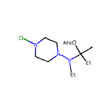 CCN(N1CCN(Cl)CC1)C(C)(CC)OC